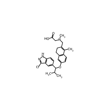 CC1=C(CN(C)CC(=O)O)CCc2cc(OC(c3ccc4[nH]nc(Cl)c4c3)C(C)C)ccc21